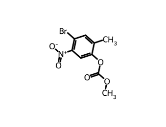 COC(=O)Oc1cc([N+](=O)[O-])c(Br)cc1C